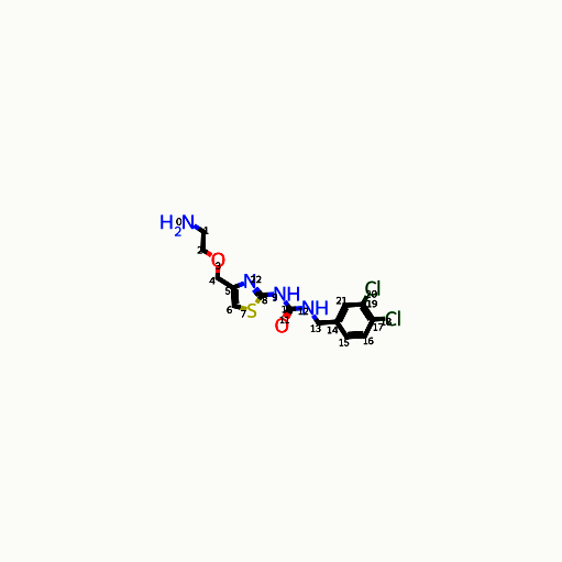 NCCOCc1csc(NC(=O)NCc2ccc(Cl)c(Cl)c2)n1